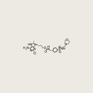 CC1Nc2c(N)nc(Cl)nc2N1CCCCOC(=O)NCc1ccc(S(=O)(=O)NCCN2CCOCC2)cc1